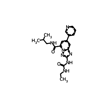 CCNC(=O)Nc1nc2cc(-c3cccnc3)cc(C(=O)NCC(C)C)n2n1